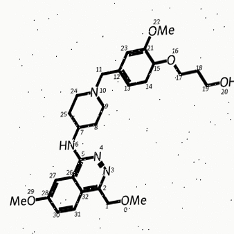 COCc1nnc(NC2CCN(CC3=CCC(OCCCO)C(OC)=C3)CC2)c2cc(OC)ccc12